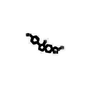 CCOCC1(O)CCC2(CCN(c3ccc(C(C)(C)C)cc3)C2=O)CC1